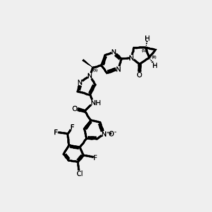 C[C@@H](c1cnc(N2C[C@H]3C[C@H]3C2=O)nc1)n1cc(NC(=O)c2cc(-c3c(C(F)F)ccc(Cl)c3F)c[n+]([O-])c2)cn1